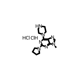 Cl.Cl.Cn1cnc2c(N3CCNCC3)nc(N3CCCC3)nc21